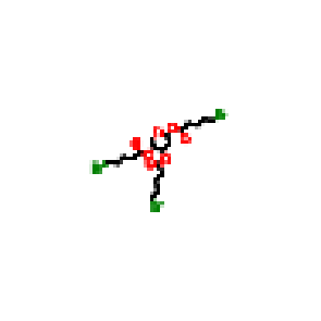 O=C(CCCCBr)OC1C[C@H](OC(=O)CCCCBr)[C@H](OC(=O)CCCCBr)CO1